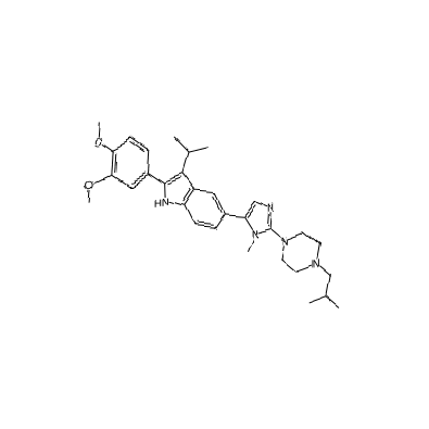 COc1ccc(-c2[nH]c3ccc(-c4cnc(N5CCN(CC(C)C)CC5)n4C)cc3c2C(C)C)cc1OC